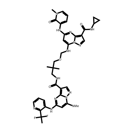 CNc1cc(Nc2cccnc2C(C)(F)F)nc2c(C(=O)NCC(C)(C)COCNc3cc(Nc4cccn(C)c4=O)nc4c(C(=O)NC5CC5)cnn34)cnn12